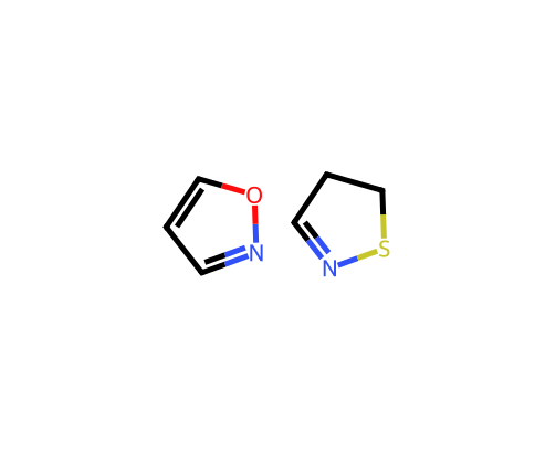 C1=NSCC1.c1cnoc1